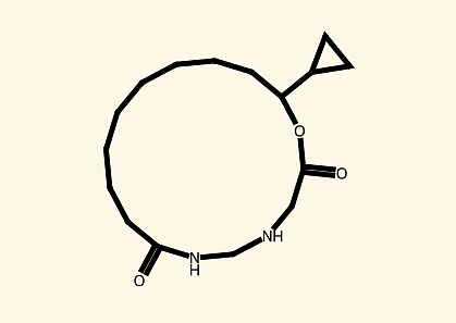 O=C1CCCCCCCCC(C2CC2)OC(=O)CNCN1